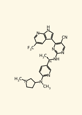 C[C@@H](Nc1ncc(C#N)c(-c2c[nH]c3ncc(C(F)(F)F)cc23)n1)c1ccc(N(C)C2CCN(C)C2)nc1